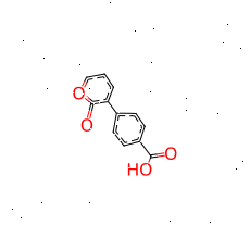 O=C(O)c1ccc(-c2cccoc2=O)cc1